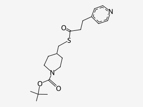 CC(C)(C)OC(=O)N1CCC(CSC(=O)CCc2ccncc2)CC1